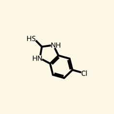 SC1Nc2ccc(Cl)cc2N1